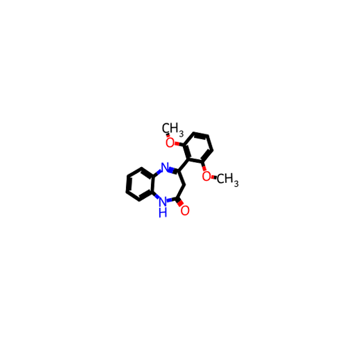 COc1cccc(OC)c1C1=Nc2ccccc2NC(=O)C1